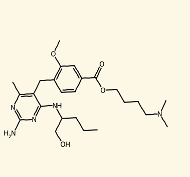 CCCC(CO)Nc1nc(N)nc(C)c1Cc1ccc(C(=O)OCCCCN(C)C)cc1OC